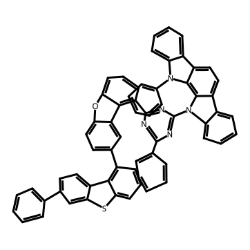 c1ccc(-c2ccc3c(c2)sc2cccc(-c4ccc5oc6cccc(-c7nc(-c8ccccc8)nc(-n8c9ccccc9c9ccc%10c%11ccccc%11n(-c%11ccccc%11)c%10c98)n7)c6c5c4)c23)cc1